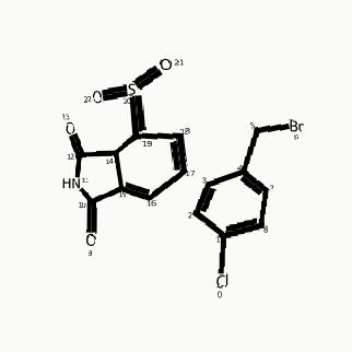 Clc1ccc(CBr)cc1.O=C1NC(=O)C2C1=CC=CC2=S(=O)=O